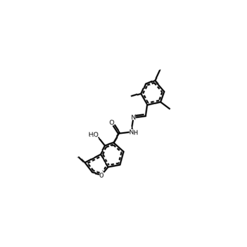 Cc1cc(C)c(C=NNC(=O)c2ccc3occ(C)c3c2O)c(C)c1